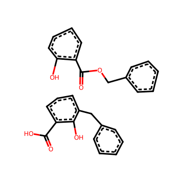 O=C(O)c1cccc(Cc2ccccc2)c1O.O=C(OCc1ccccc1)c1ccccc1O